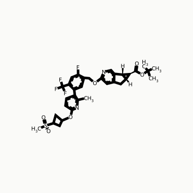 Cc1nc(OC2CC(S(C)(=O)=O)C2)ccc1-c1cc(COc2cc3c(cn2)[C@H]2[C@@H](C3)[C@@H]2C(=O)OC(C)(C)C)c(F)cc1C(F)(F)F